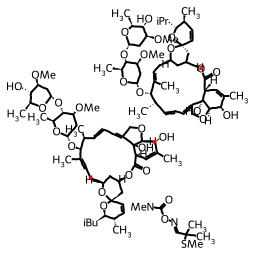 CC[C@H](C)[C@H]1O[C@]2(C=C[C@@H]1C)C[C@@H]1C[C@@H](C/C=C(\C)[C@@H](O[C@H]3C[C@H](OC)[C@@H](O[C@H]4C[C@H](OC)[C@@H](O)[C@H](C)O4)[C@H](C)O3)[C@@H](C)/C=C/C=C3\CO[C@@H]4[C@H](O)C(C)=C[C@@H](C(=O)O1)[C@]34O)O2.CNC(=O)O/N=C/C(C)(C)SC.CO[C@H]1C[C@H](O[C@H]2[C@H](C)O[C@@H](O[C@@H]3/C(C)=C/C[C@@H]4C[C@@H](C[C@]5(C=C[C@H](C)[C@@H](C(C)C)O5)O4)OC(=O)[C@@H]4C=C(C)[C@@H](O)[C@H]5OC/C(=C\C=C\[C@@H]3C)[C@]54O)C[C@@H]2OC)O[C@@H](C)[C@@H]1O